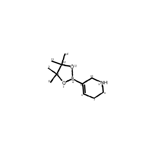 CC1(C)OB(C2=CCCNC2)OC1(C)C